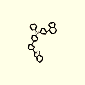 c1ccc(N(c2ccc(-c3cccc(-c4cc5ccccc5o4)c3)cc2)c2ccc(-c3cccc4ccccc34)cc2)cc1